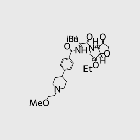 CCO[C@H]1CN(C(=O)[C@@H](NC(=O)c2ccc(C3CCN(CCOC)CC3)cc2)[C@@H](C)CC)[C@@H]2C(=O)CO[C@H]12